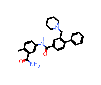 Cc1ccc(NC(=O)c2ccc(-c3ccccc3)c(CN3CCCCC3)c2)cc1C(N)=O